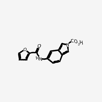 O=C(Nc1ccc2cn(C(=O)O)cc2c1)c1ccco1